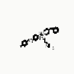 Cc1ccc(COc2ccc(/N=C(\NCCCN)N3CCC(Cc4ccccc4)CC3)cc2)cc1